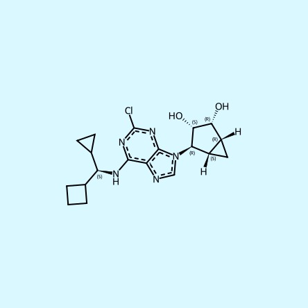 O[C@@H]1[C@H](O)[C@@H]2C[C@@H]2[C@H]1n1cnc2c(N[C@@H](C3CCC3)C3CC3)nc(Cl)nc21